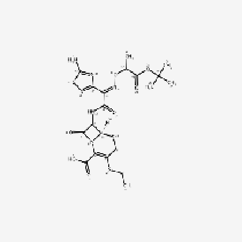 CCSC1=C(C(=O)O)N2C(=O)C(NC(=O)/C(=N/OC(C)C(=O)OC(C)(C)C)c3nsc(N)n3)[C@H]2SC1